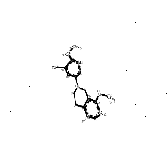 COc1ncc(N2CCc3ncnc(OC)c3C2)cc1Cl